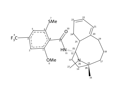 COc1cc(C(F)(F)F)cc(SC)c1C(=O)N[C@]12CC[C@@](C)(CCCC3=CC=CCC31)N2C